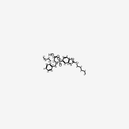 CCCCCSc1nc2ccc(S(=O)(=O)N(Cc3ccccc3)[C@H](CCSC)C(=O)O)cc2s1